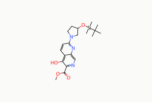 COC(=O)c1ncc2nc(N3CCC(O[Si](C)(C)C(C)(C)C)C3)ccc2c1O